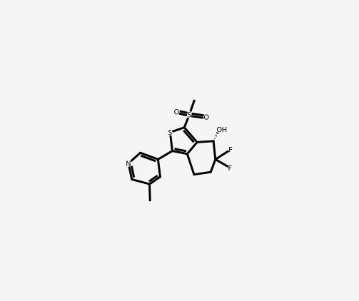 Cc1cncc(-c2sc(S(C)(=O)=O)c3c2CCC(F)(F)[C@H]3O)c1